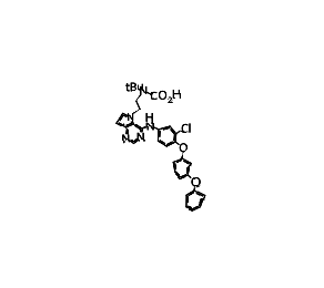 CC(C)(C)N(CCn1ccc2ncnc(Nc3ccc(Oc4cccc(Oc5ccccc5)c4)c(Cl)c3)c21)C(=O)O